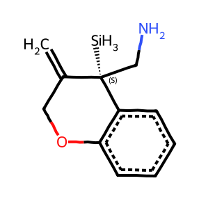 C=C1COc2ccccc2[C@]1([SiH3])CN